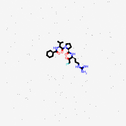 CC(C)[C@H](NC(=O)C1CCCCC1)C(=O)N1CCC[C@H]1C(=O)N[C@@H](CCCNC(=N)N)C(=O)CF